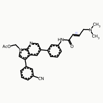 CC(=O)OCn1cc(-c2cccc(C#N)c2)c2cc(-c3cccc(NC(=O)/C=C/CN(C)C)c3)cnc21